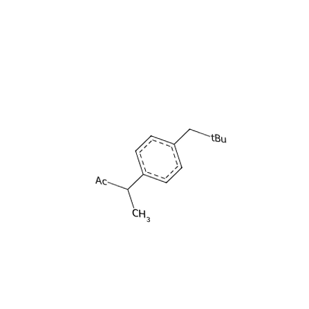 CC(=O)C(C)c1ccc(CC(C)(C)C)cc1